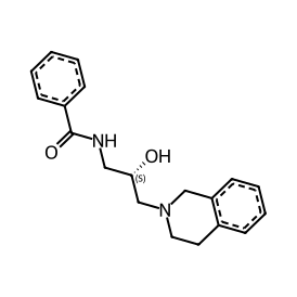 O=C(NC[C@H](O)CN1CCc2ccccc2C1)c1ccccc1